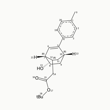 Cc1ccc(C2=C[C@H]3CC[C@@H]2C[C@@]3(O)CC(=O)OC(C)(C)C)cc1